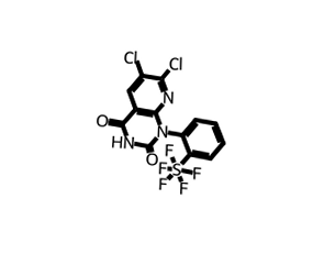 O=c1[nH]c(=O)n(-c2ccccc2S(F)(F)(F)(F)F)c2nc(Cl)c(Cl)cc12